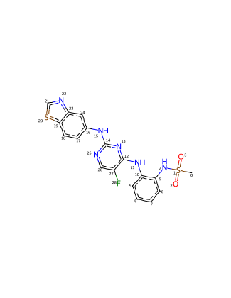 CS(=O)(=O)Nc1ccccc1Nc1nc(Nc2ccc3scnc3c2)ncc1F